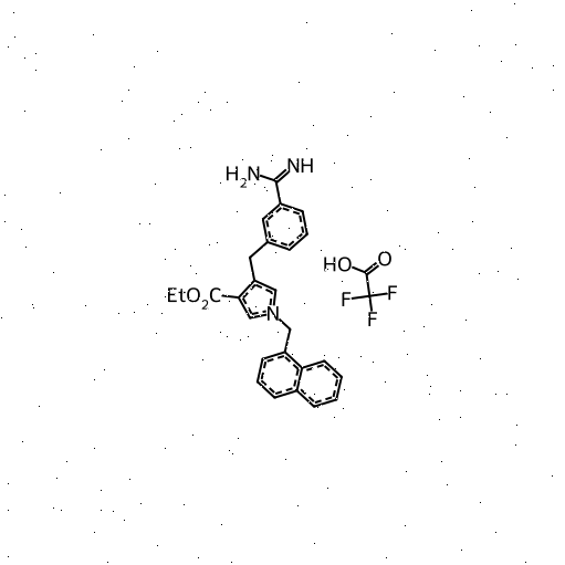 CCOC(=O)c1cn(Cc2cccc3ccccc23)cc1Cc1cccc(C(=N)N)c1.O=C(O)C(F)(F)F